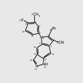 Cc1cc(-n2c(C(C)C)c(C#N)c3cc4[nH]ncc4cc32)ccc1F